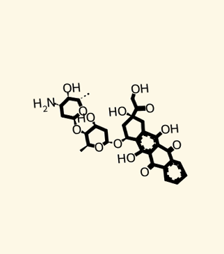 C[C@@H]1O[C@@H](O[C@@H]2[C@H](C)O[C@@H](O[C@H]3C[C@](O)(C(=O)CO)Cc4c(O)c5c(c(O)c43)C(=O)c3ccccc3C5=O)C[C@@H]2O)C[C@H](N)[C@@H]1O